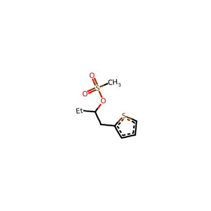 CCC(Cc1cccs1)OS(C)(=O)=O